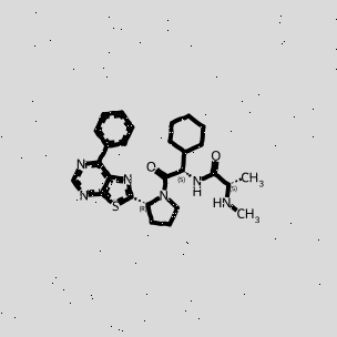 CN[C@@H](C)C(=O)N[C@H](C(=O)N1CCC[C@@H]1c1nc2c(-c3ccccc3)ncnc2s1)C1CCCCC1